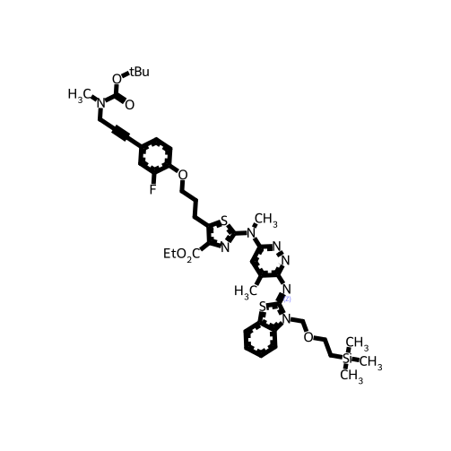 CCOC(=O)c1nc(N(C)c2cc(C)c(/N=c3\sc4ccccc4n3COCC[Si](C)(C)C)nn2)sc1CCCOc1ccc(C#CCN(C)C(=O)OC(C)(C)C)cc1F